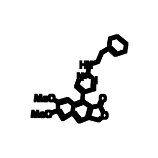 COc1cc2cc3c(c(-c4cnc(NCCC5=CCCCC5)nc4)c2cc1OC)C(=O)OC3